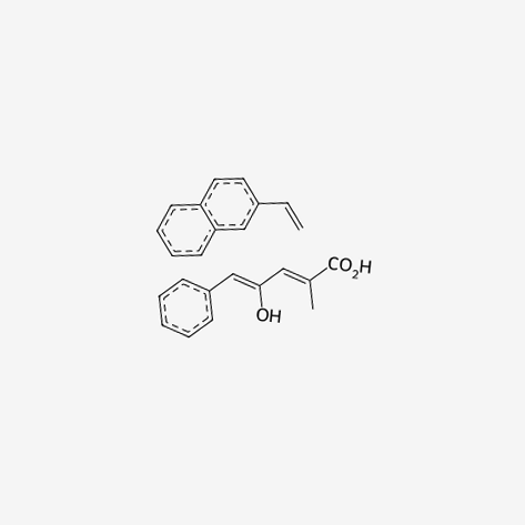 C=Cc1ccc2ccccc2c1.CC(=CC(O)=Cc1ccccc1)C(=O)O